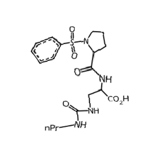 CCCNC(=O)NCC(NC(=O)C1CCCN1S(=O)(=O)c1ccccc1)C(=O)O